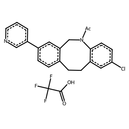 CC(=O)N1Cc2cc(-c3cccnc3)ccc2CCc2cc(Cl)ccc21.O=C(O)C(F)(F)F